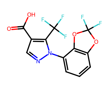 O=C(O)c1cnn(-c2cccc3c2OC(F)(F)O3)c1C(F)(F)F